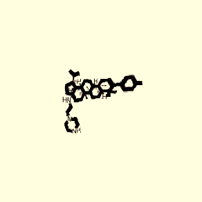 C=C(C)[C@@H]1CC[C@]2(NCCN3CCNCC3)CC[C@]3(C)[C@H](CC[C@@H]4[C@@]5(C)CC=C(c6ccc(C)cc6)C(C)(C)[C@@H]5CC[C@]43C)[C@@H]12